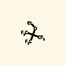 C[CH]OC(C(F)(F)F)(C(F)(F)F)C(F)(F)F